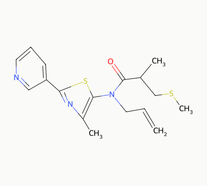 C=CCN(C(=O)C(C)CSC)c1sc(-c2cccnc2)nc1C